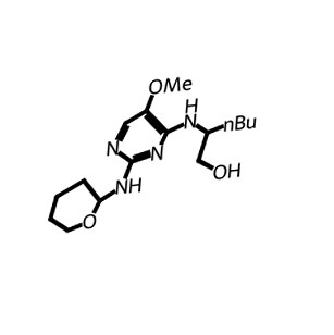 CCCCC(CO)Nc1nc(NC2CCCCO2)ncc1OC